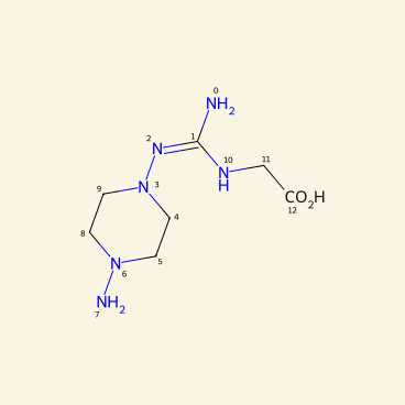 NC(=NN1CCN(N)CC1)NCC(=O)O